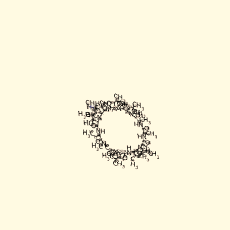 C/C=C/C[C@@H](C)[C@@H](O)C1C(=O)N[C@H](CC)C(=O)N(C)CC(=O)N(C)[C@@H](CC(C)C)C(=O)N[C@H](C(C)C)C(=O)N(C)[C@H](CC(C)C)C(=O)N[C@H](C)C(=O)N[C@@H](C)C(=O)N(C)[C@H](CC(C)C)C(=O)N(C)[C@H](CC(C)C)C(=O)N(C)[C@H](C(C)C)C(=O)N1C